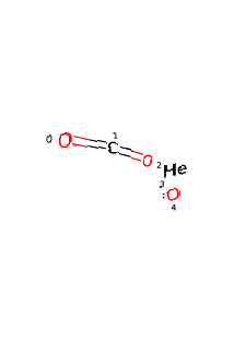 O=C=O.[He].[O]